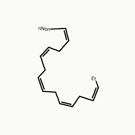 CC/C=C\C/C=C\C/C=C\C/C=C\C/C=C\CCCCCCCCC